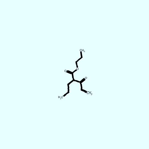 CCCOC(=O)C(CCC)C(=O)CC